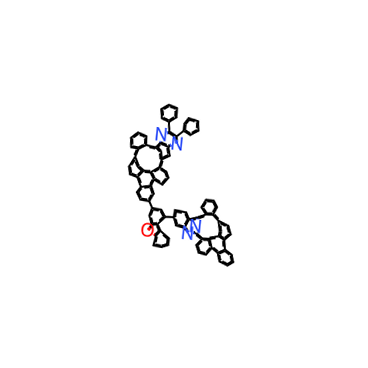 c1ccc(-c2nc3cc4cc(c5ccccc5c5ccc6c7ccc(-c8cc(-c9ccc%10c(c9)nc9nc%10c%10ccccc%10c%10ccc%11c%12ccccc%12c%12cccc9c%12c%11c%10)c9c(c8)oc8ccccc89)cc7c7cccc4c7c6c5)c3nc2-c2ccccc2)cc1